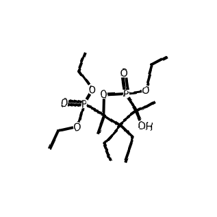 CCOP1(=O)OC(C)(P(=O)(OCC)OCC)C(CC)(CC)C1(C)O